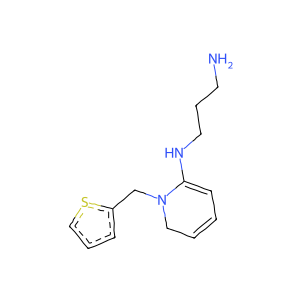 NCCCNC1=CC=CCN1Cc1cccs1